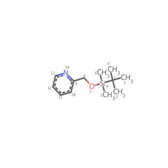 CC(C)(C)[Si](C)(C)OCc1ccccn1